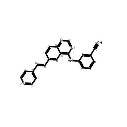 C#Cc1cccc(Nc2ncnc3ccc(/C=C/c4ccncc4)cc23)c1